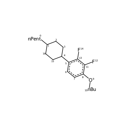 CCCCCC1CCC(c2ccc(OCCCC)c(F)c2F)CC1